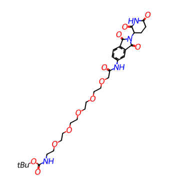 CC(C)(C)OC(=O)NCCOCCOCCOCCOCCOCC(=O)Nc1ccc2c(c1)C(=O)N(C1CCC(=O)NC1=O)C2=O